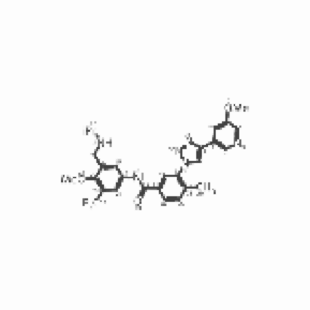 COc1cncc(-c2cn(-c3cc(C(=O)Nc4cc(CNC(C)C)c(OC)c(C(F)(F)F)c4)ccc3C)nn2)c1